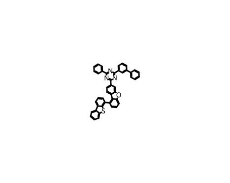 c1ccc(-c2cccc(-c3nc(-c4ccccc4)nc(-c4ccc5c(c4)oc4cccc(-c6cccc7c6sc6ccccc67)c45)n3)c2)cc1